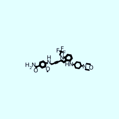 COc1cc(C(N)=O)ccc1NCC#Cc1cc2c(NC3CCC(N4CCOCC4)CC3)cccc2n1CC(F)(F)F